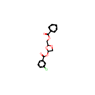 O=C(OCC1OCC(OC(=O)c2cccc(Cl)c2)O1)c1ccccc1